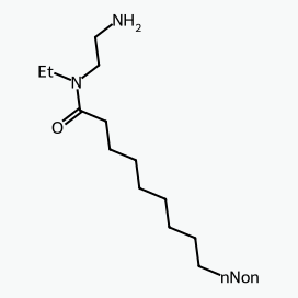 CCCCCCCCCCCCCCCCCC(=O)N(CC)CCN